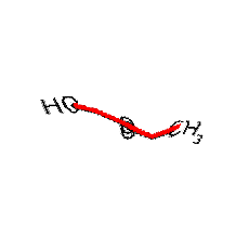 CCCCCCCCC=CCCCCCCCCCCCC(=O)OCCCCCCCCCCCCCCCCCCCCCCCCCCCO